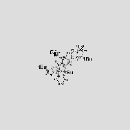 CC(C)(C)C1=CC[C]([Zr+2]([C]2=C(C(C)(C)C)c3cc4c(cc3C2(C)C)Cc2cc3c(cc2-4)C(C(C)(C)C)=CC3(C)C)=[C]2CCCCC2)=C1.[Cl-].[Cl-]